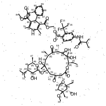 CC(C)C(=O)Nc1ccc([N+](=O)[O-])c(C(F)(F)F)c1.CC[C@H]1OC(=O)[C@H](C)[C@@H](O[C@H]2C[C@@](C)(OC)[C@@H](O)[C@H](C)O2)[C@H](C)[C@@H](O[C@@H]2O[C@H](C)C[C@H](N(C)C)[C@H]2O)[C@](C)(O)C[C@@H](C)C(=O)[C@H](C)[C@@H](O)[C@]1(C)O.COC(=O)C1=C(C)NC(C)=C(C(=O)OC)C1c1ccccc1[N+](=O)[O-]